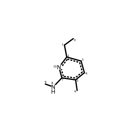 CCc1ccc(C)c(NC)n1